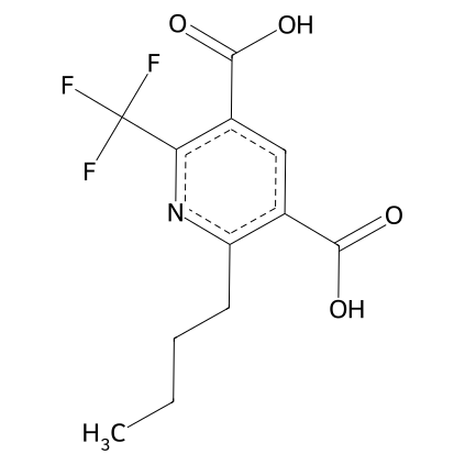 CCCCc1nc(C(F)(F)F)c(C(=O)O)cc1C(=O)O